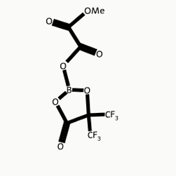 COC(=O)C(=O)OB1OC(=O)C(C(F)(F)F)(C(F)(F)F)O1